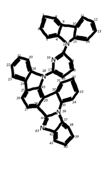 c1cc(-n2c3ccccc3c3ccccc32)nc(-n2c3ccccc3c3ccc4c(c5ccccc5n5c6ccccc6nc45)c32)c1